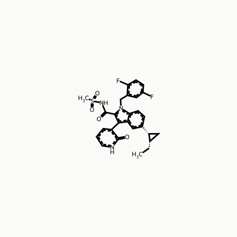 CC[C@H]1C[C@H]1c1ccc2c(c1)c(-c1ccc[nH]c1=O)c(C(=O)NS(C)(=O)=O)n2Cc1cc(F)ccc1F